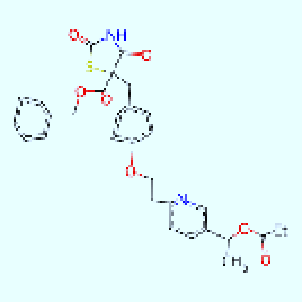 CCC(=O)OC(C)c1ccc(CCOc2ccc(CC3(C(=O)OCc4ccccc4)SC(=O)NC3=O)cc2)nc1